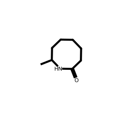 CC1CCCCCC(=O)N1